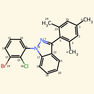 Cc1cc(C)c(-c2nn(-c3cccc(Br)c3Cl)c3ccccc23)c(C)c1